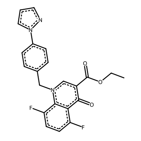 CCOC(=O)c1cn(Cc2ccc(-n3cccn3)cc2)c2c(F)ccc(F)c2c1=O